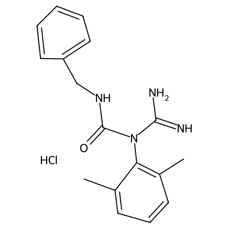 Cc1cccc(C)c1N(C(=N)N)C(=O)NCc1ccccc1.Cl